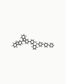 c1ccc(-c2ccc(-c3ccc(C4Cc5ccc(-c6ccc7c(c6)c6ccccc6n7-c6ccc7c(c6)oc6ccccc67)cc5-c5ccccc54)cc3)cc2)cc1